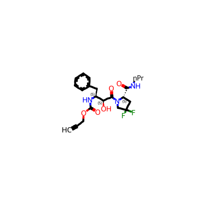 C#CCOC(=O)N[C@@H](Cc1ccccc1)[C@H](O)C(=O)N1CC(F)(F)C[C@H]1C(=O)NCCC